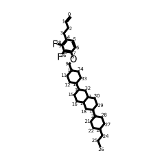 C=CCCc1ccc(OCC2CCC(C3CCC4CC(C5CCC(CCC)CC5)CCC4C3)CC2)c(F)c1F